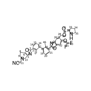 Cc1c(-c2nc3c(o2)CCN(CC#N)C3)cccc1-c1cccc(-c2nc3cc(COC(=O)[C@@H]4CCCN4)c(OC(F)F)cc3o2)c1C